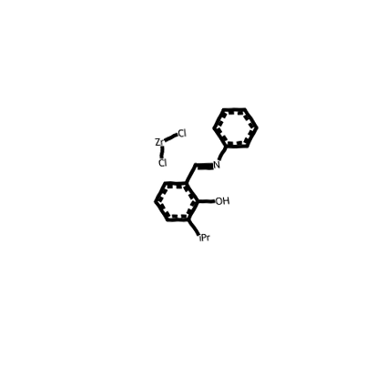 CC(C)c1cccc(C=Nc2ccccc2)c1O.[Cl][Zr][Cl]